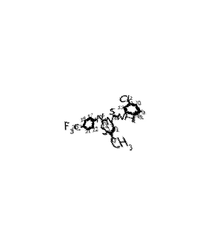 CC1CN(C(=S)Nc2cccc(Cl)c2)C(=Nc2ccc(C(F)(F)F)cc2)S1